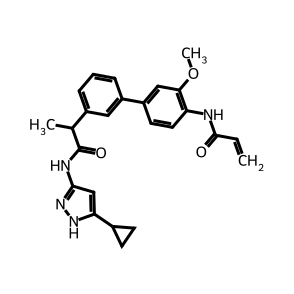 C=CC(=O)Nc1ccc(-c2cccc(C(C)C(=O)Nc3cc(C4CC4)[nH]n3)c2)cc1OC